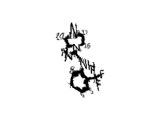 FC(F)(F)c1ccccc1Nc1nnc2n1CC[N]C2